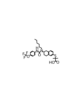 CCCCCCN(C(=O)Nc1ccc(OC(F)(F)F)cc1)C1CCc2cc(SC(C)(C)C(=O)O)ccc2C1